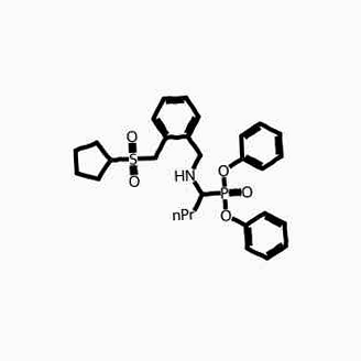 CCCC(NCc1ccccc1CS(=O)(=O)C1CCCC1)P(=O)(Oc1ccccc1)Oc1ccccc1